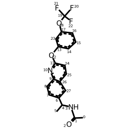 CC(=O)NC(C)c1ccc2nc(Oc3cccc(OC(F)(F)F)c3)ccc2c1